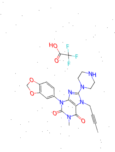 CC#CCn1c(N2CCNCC2)nc2c1c(=O)n(C)c(=O)n2-c1ccc2c(c1)OCO2.O=C(O)C(F)(F)F